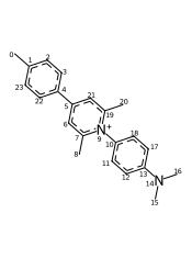 Cc1ccc(-c2cc(C)[n+](-c3ccc(N(C)C)cc3)c(C)c2)cc1